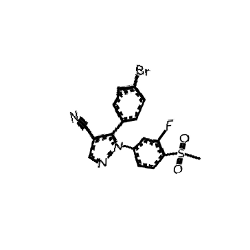 CS(=O)(=O)c1ccc(-n2ncc(C#N)c2-c2ccc(Br)cc2)cc1F